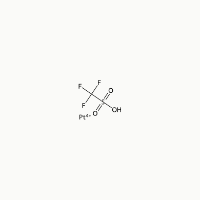 O=S(=O)(O)C(F)(F)F.[Pt+4]